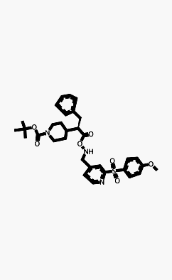 COc1ccc(S(=O)(=O)c2cc(CNOC(=O)[C@H](Cc3ccccc3)C3CCN(C(=O)OC(C)(C)C)CC3)ccn2)cc1